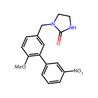 COc1ccc(CN2CCNC2=O)cc1-c1cccc([N+](=O)[O-])c1